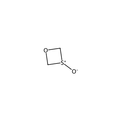 [O-][S+]1COC1